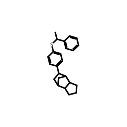 CC(Sc1ccc(C2CC3CC2C2CCCC32)cc1)c1ccccc1